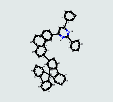 c1ccc(-c2cc(-c3ccc4ccc5ccc(-c6ccc7c(c6)C6(c8ccccc8-c8ccccc86)c6ccccc6-7)cc5c4c3)nc(-c3ccccc3)n2)cc1